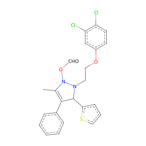 CC1=C(c2ccccc2)C(c2cccs2)N(CCOc2ccc(Cl)c(Cl)c2)N1OC=O